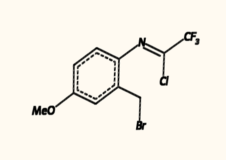 COc1ccc(N=C(Cl)C(F)(F)F)c(CBr)c1